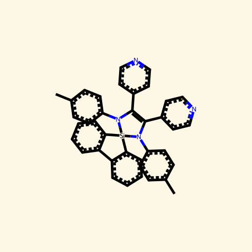 Cc1ccc(N2C(c3ccncc3)=C(c3ccncc3)N(c3ccc(C)cc3)[Si]23c2ccccc2-c2ccccc23)cc1